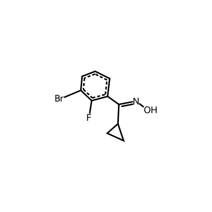 ON=C(c1cccc(Br)c1F)C1CC1